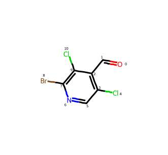 O=Cc1c(Cl)cnc(Br)c1Cl